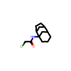 O=C(CCl)NC12CCCC(C1)C1CCC2C1